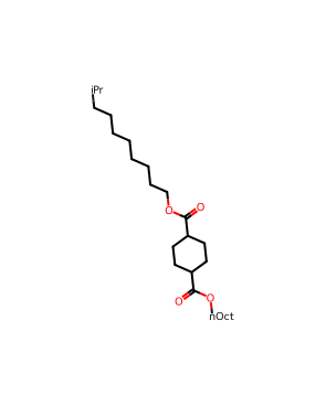 CCCCCCCCOC(=O)C1CCC(C(=O)OCCCCCCCCC(C)C)CC1